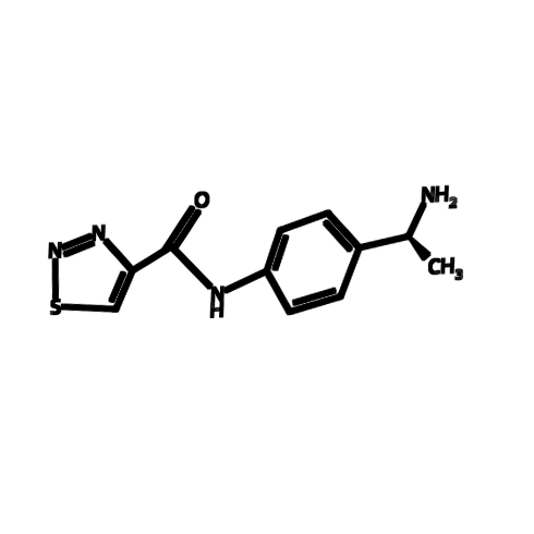 C[C@H](N)c1ccc(NC(=O)c2csnn2)cc1